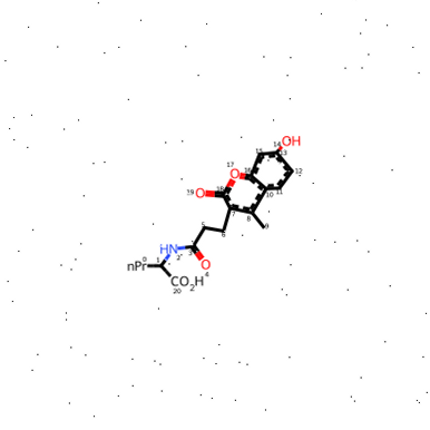 CCCC(NC(=O)CCc1c(C)c2ccc(O)cc2oc1=O)C(=O)O